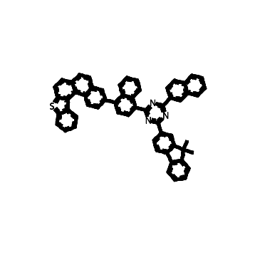 CC1(C)c2ccccc2-c2ccc(-c3nc(-c4ccc5ccccc5c4)nc(-c4ccc(-c5ccc6c(ccc7ccc8sc9ccccc9c8c76)c5)c5ccccc45)n3)cc21